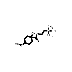 CC(=O)SC1CCC(C)(C(=O)OCC[Si](C)(C)C)CC1